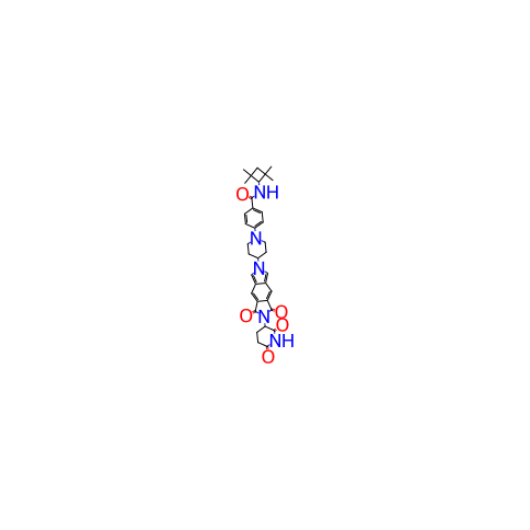 CC1(C)CC(C)(C)C1NC(=O)c1ccc(N2CCC(n3cc4cc5c(cc4c3)C(=O)N(C3CCC(=O)NC3=O)C5=O)CC2)cc1